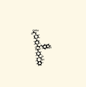 COC(=O)CN1CCN(C2CCN(C(=O)[C@@H](Cc3ccc4[nH]ncc4c3)OC(=O)N3CCC(N4CCc5ccccc5NC4=O)CC3)CC2)CC1